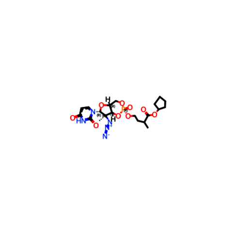 CC(CCO[P@]1(=O)OC[C@H]2O[C@@H](n3ccc(=O)[nH]c3=O)[C@](C)(N=[N+]=[N-])[C@@H]2O1)C(=O)OC1CCCC1